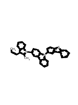 C/C=C\c1c(C)n(-c2ccc3c(c2)c2ccccc2n3-c2ccc3sc4ccccc4c3c2)c2ccccc12